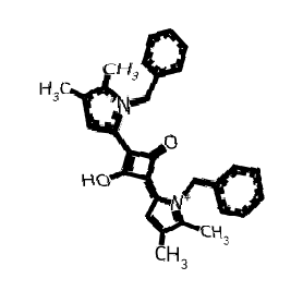 CC1=C/C(=C2/C(=O)C(c3cc(C)c(C)n3Cc3ccccc3)=C2O)[N+](Cc2ccccc2)=C1C